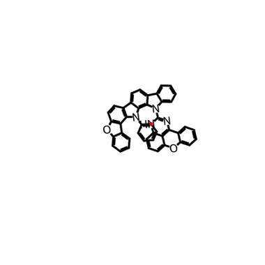 C1=CC2NC(n3c4ccccc4c4ccc5c6ccc7oc8ccccc8c7c6n(-c6ccccc6)c5c43)=NC3=C2C(=C1)Oc1ccccc13